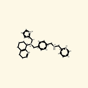 C1=NC2=C(CC1)CCCC2N(Cc1ccc(CNCc2ccccn2)cc1)Cc1ccco1